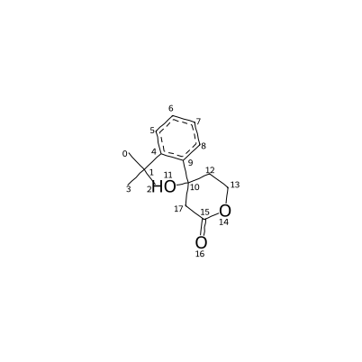 CC(C)(C)c1ccccc1C1(O)CCOC(=O)C1